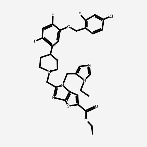 CCOC(=O)c1cc2c(nc(CN3CCC(c4cc(OCc5ccc(Cl)cc5F)c(F)cc4F)CC3)n2Cc2cncn2CC)s1